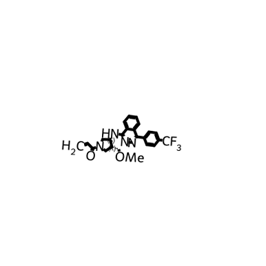 C=CC(=O)N1C[C@@H](COC)[C@H](Nc2nnc(-c3ccc(C(F)(F)F)cc3)c3ccccc23)C1